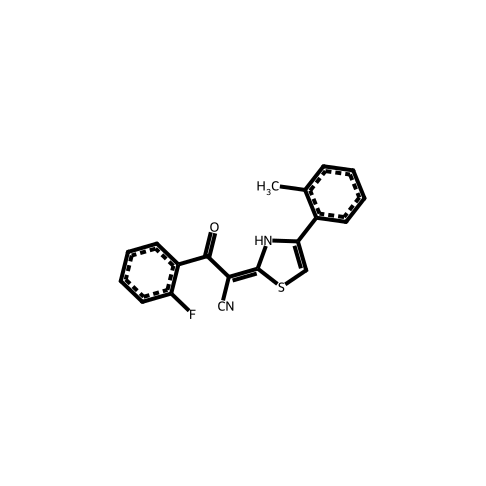 Cc1ccccc1C1=CS/C(=C(\C#N)C(=O)c2ccccc2F)N1